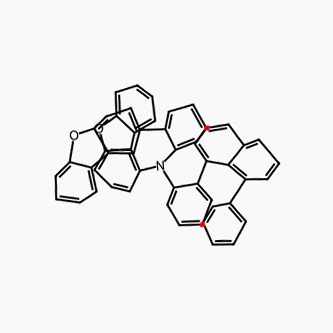 c1ccc(-c2cccc3cccc(-c4ccccc4N(c4ccccc4-c4ccc5oc6ccccc6c5c4)c4cccc5oc6ccccc6c45)c23)cc1